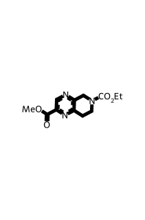 CCOC(=O)N1CCc2nc(C(=O)OC)cnc2C1